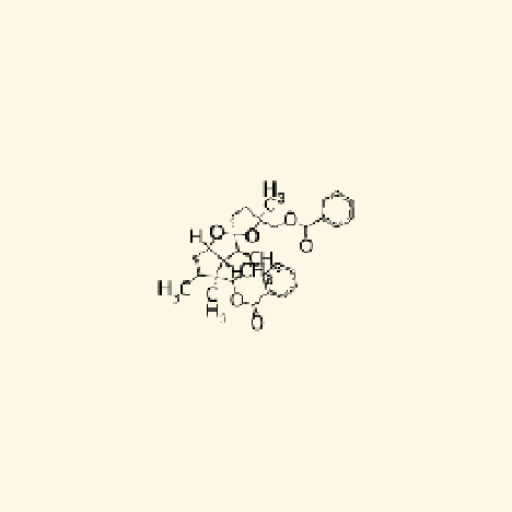 CC1=C[C@@H]2O[C@]3(CC[C@@](C)(COC(=O)c4ccccc4)O3)[C@@H](C)[C@@H]2[C@@]1(C)[C@@H](C)OC(=O)c1ccccc1